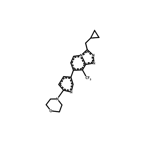 FC(F)(F)c1c(-c2ccc(N3CCOCC3)nc2)ccn2c(CC3CC3)nnc12